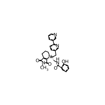 CN1C(=O)C2=C(C1=O)N([C@@H](CNC(=O)c1ccccc1O)Cc1ccc(-c3cccnc3)nc1)CCC2